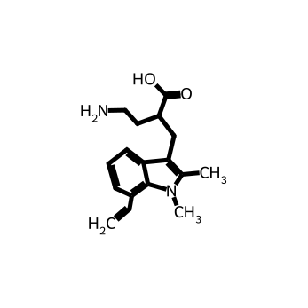 C=Cc1cccc2c(CC(CCN)C(=O)O)c(C)n(C)c12